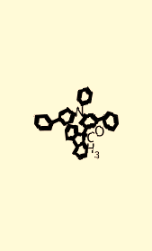 CC1(c2cc(N(c3ccccc3)c3ccc(-c4ccccc4)cc3)cc3c2oc2ccccc23)c2ccccc2-c2ccccc21